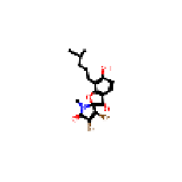 CC(C)CCCc1c(O)ccc2c1OC1(C2=O)C(Br)=C(Br)C(=O)N1C